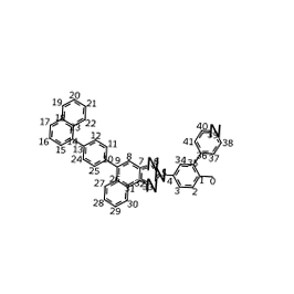 Cc1ccc(-n2nc3cc(-c4ccc(-c5cccc6ccccc56)cc4)c4ccccc4c3n2)cc1-c1ccncc1